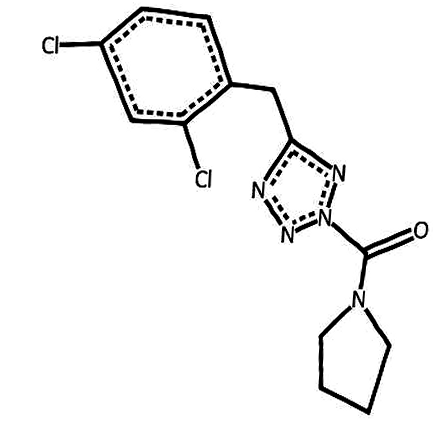 O=C(N1CCCC1)n1nnc(Cc2ccc(Cl)cc2Cl)n1